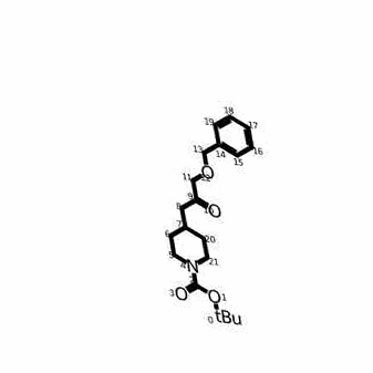 CC(C)(C)OC(=O)N1CCC(CC(=O)COCc2ccccc2)CC1